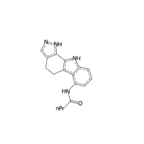 CCCC(=O)Nc1cccc2[nH]c3c(c12)CCc1cn[nH]c1-3